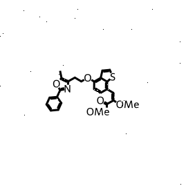 COC(=O)/C(=C\c1ccc(OCCc2nc(-c3ccccc3)oc2C)c2ccsc12)OC